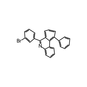 Brc1cccc(-c2nc3ccccc3c3c(-c4ccccc4)cccc23)c1